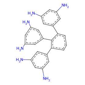 Nc1cc(N)cc(-c2cccc(-c3cc(N)cc(N)c3)c2-c2cc(N)cc(N)c2)c1